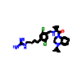 N=C(N)NCCCCc1cc(Cl)c(CNC2(C(=O)N3CCN(C4CC4)c4ccccc43)CC2)cc1Cl